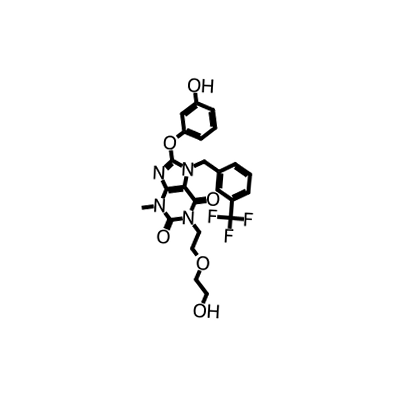 Cn1c(=O)n(CCOCCO)c(=O)c2c1nc(Oc1cccc(O)c1)n2Cc1cccc(C(F)(F)F)c1